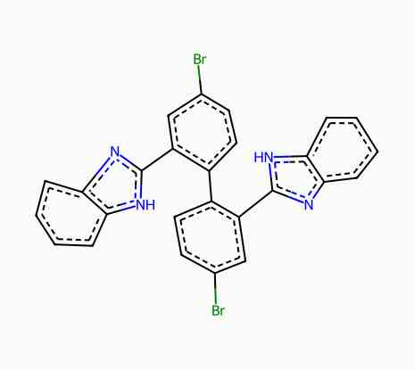 Brc1ccc(-c2ccc(Br)cc2-c2nc3ccccc3[nH]2)c(-c2nc3ccccc3[nH]2)c1